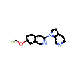 FCOc1ccc2cc(-n3ccc4ccncc43)ncc2c1